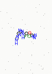 Fc1c(Nc2ncnc3ccc(N4CCNCC4)nc23)ccc(Oc2ccn3ncnc3c2)c1Cl